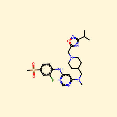 CC(C)c1noc(CN2CCC(CN(C)c3cc(Nc4ccc(S(C)(=O)=O)cc4F)ncn3)CC2)n1